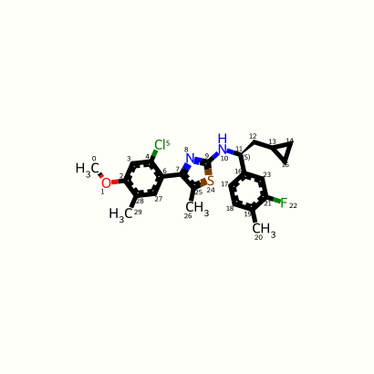 COc1cc(Cl)c(-c2nc(N[C@@H](CC3CC3)c3ccc(C)c(F)c3)sc2C)cc1C